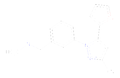 N#Cc1cc(-c2ccco2)n(-c2cccc(CNC(=O)O)c2)n1